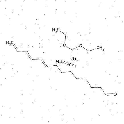 C=C.C=C/C=C/C=C/CCCCCCCC=O.CCOC(C)OCC